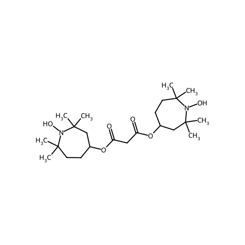 CC1(C)CCC(OC(=O)CC(=O)OC2CCC(C)(C)N(O)C(C)(C)C2)CC(C)(C)N1O